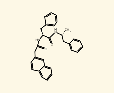 C[C@H](Cc1ccccc1)NC(=O)[C@H](Cc1ccccc1)NC(=O)Cc1ccc2ccccc2c1